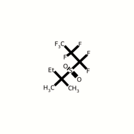 CCC(C)(C)S(=O)(=O)C(F)(F)C(F)(F)C(F)(F)F